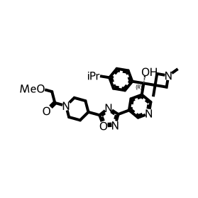 COCC(=O)N1CCC(c2nc(-c3cncc([C@@](O)(c4ccc(C(C)C)cc4)C4(C)CN(C)C4)c3)no2)CC1